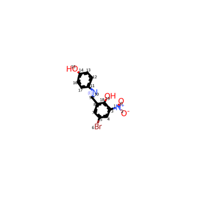 O=[N+]([O-])c1cc(Br)cc(/C=N/c2ccc(O)cc2)c1O